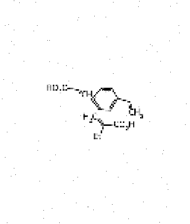 C=C(CC)C(=O)O.C=CC(=O)O.C=Cc1ccccc1